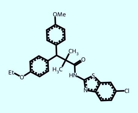 CCOc1ccc(C(c2ccc(OC)cc2)C(C)(C)C(=O)Nc2nc3ccc(Cl)cc3s2)cc1